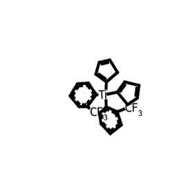 FC(F)(F)c1cccc[c]1[Ti]([C]1=CC=CC1)([C]1=CC=CC1)[c]1ccccc1C(F)(F)F